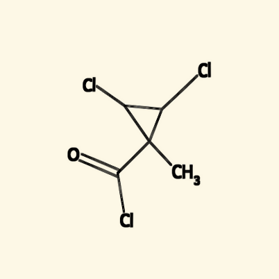 CC1(C(=O)Cl)C(Cl)C1Cl